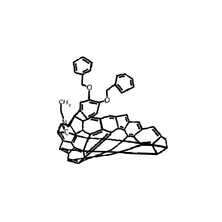 CN1CC2C3=c4c5c6c7c4=C4C8c9c%10c(cc%11cc%12cc%13cc%14c(c%15c%13c%13c%12c%11c%10c(c97)c%13c6%15)C5C(C3)C%14)=CC8CC42C1c1ccc(OCc2ccccc2)c(OCc2ccccc2)c1